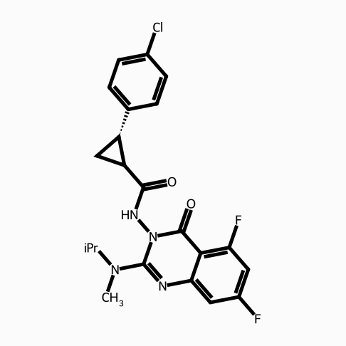 CC(C)N(C)c1nc2cc(F)cc(F)c2c(=O)n1NC(=O)C1C[C@@H]1c1ccc(Cl)cc1